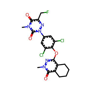 Cn1nc(Oc2c(Cl)cc(-n3nc(CF)c(=O)n(C)c3=O)cc2Cl)c2c(c1=O)CCCC2